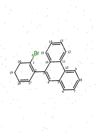 BrC1=C(c2cc3ccccc3c3ccccc23)C=CCC1